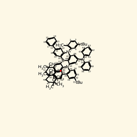 Cc1ccc(C(C)(C)C)cc1N1c2cc(-c3ccccc3)ccc2B2c3cc4c(cc3N(c3ccc(C(C)(C)C)cc3-c3ccc5c(c3)C(C)(C)CCC5(C)C)c3cc(N(c5ccccc5)c5ccccc5)cc1c32)C(C)(C)CCC4(C)C